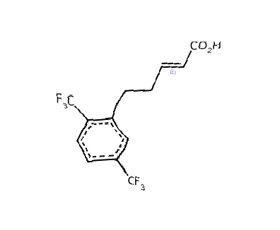 O=C(O)/C=C/CCc1cc(C(F)(F)F)ccc1C(F)(F)F